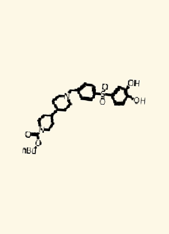 CCCCOC(=O)N1CCC(C2CCN(Cc3ccc(S(=O)(=O)c4ccc(O)c(O)c4)cc3)CC2)CC1